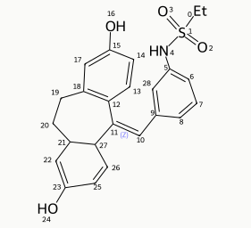 CCS(=O)(=O)Nc1cccc(/C=C2\c3ccc(O)cc3CCC3C=C(O)C=CC23)c1